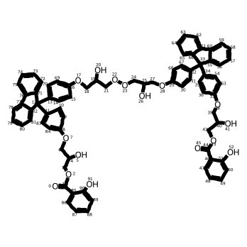 O=C(OCC(O)COc1ccc(C2(c3ccc(OCC(O)COOCC(O)COc4ccc(C5(c6ccc(OCC(O)COC(=O)c7ccccc7O)cc6)c6ccccc6-c6ccccc65)cc4)cc3)c3ccccc3-c3ccccc32)cc1)c1ccccc1O